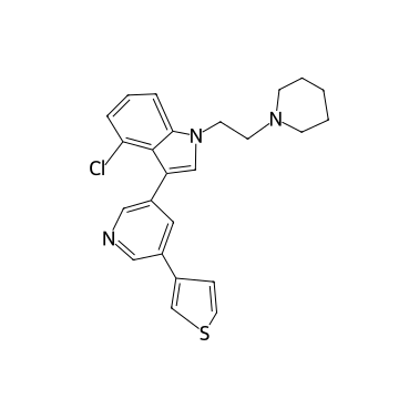 Clc1cccc2c1c(-c1cncc(-c3ccsc3)c1)cn2CCN1CCCCC1